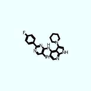 CC(C)c1cnc(-c2ccc(F)cc2)nc1Nc1ccnc2[nH]cc(N3CCCCC3)c12